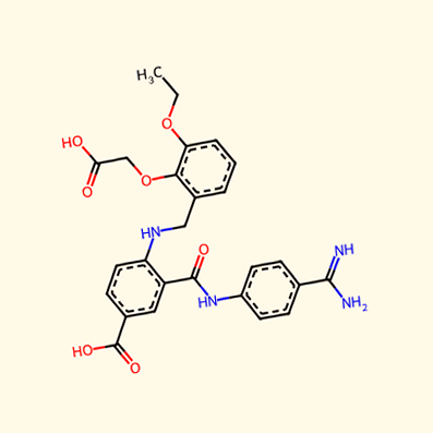 CCOc1cccc(CNc2ccc(C(=O)O)cc2C(=O)Nc2ccc(C(=N)N)cc2)c1OCC(=O)O